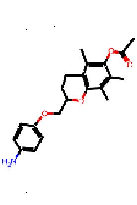 CC(=O)Oc1c(C)c(C)c2c(c1C)CCC(COc1ccc(N)cc1)O2